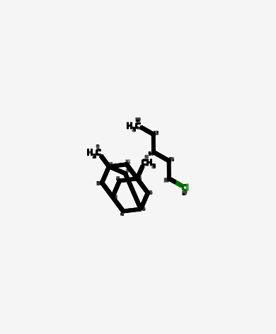 CC12CC3CC(C1)CC(C)(C3)C2.CCCCCCl